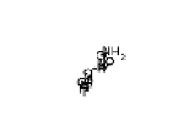 NC(=O)c1cccc2cn(CCC3CCCN(OC(=O)C(F)(F)F)C3)nc12